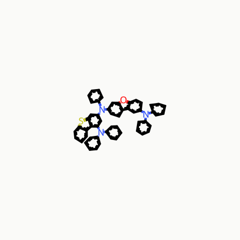 c1ccc(N(c2ccc3c(c2)oc2ccc(N(c4ccccc4)c4ccccc4)cc23)c2cc(N(c3ccccc3)c3ccccc3)c3c(c2)sc2ccccc23)cc1